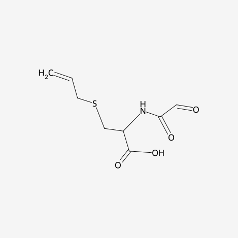 C=CCSCC(NC(=O)C=O)C(=O)O